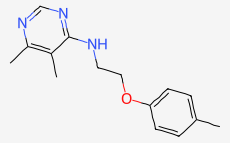 Cc1ccc(OCCNc2ncnc(C)c2C)cc1